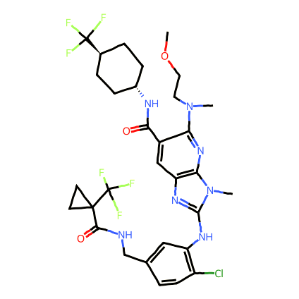 COCCN(C)c1nc2c(cc1C(=O)N[C@H]1CC[C@H](C(F)(F)F)CC1)nc(Nc1cc(CNC(=O)C3(C(F)(F)F)CC3)ccc1Cl)n2C